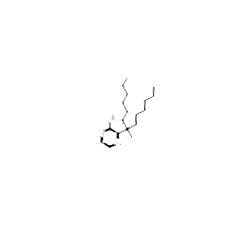 CCCCCCC(C)(CCCCCC)c1nccnc1N